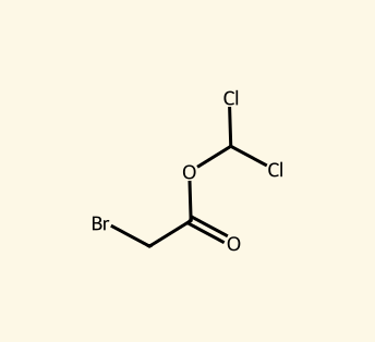 O=C(CBr)OC(Cl)Cl